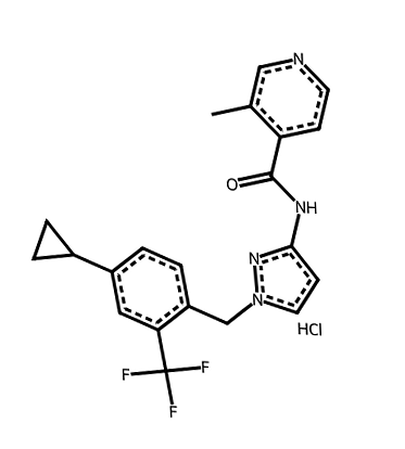 Cc1cnccc1C(=O)Nc1ccn(Cc2ccc(C3CC3)cc2C(F)(F)F)n1.Cl